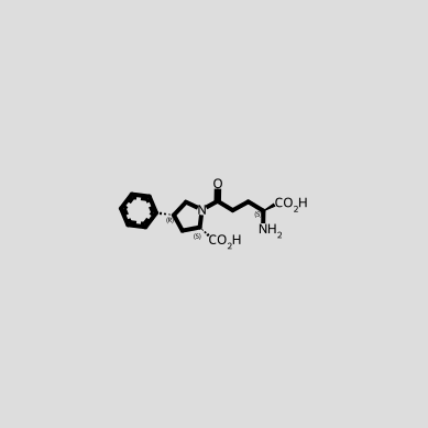 N[C@@H](CCC(=O)N1C[C@@H](c2ccccc2)C[C@H]1C(=O)O)C(=O)O